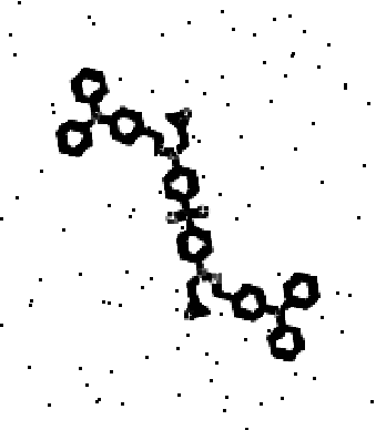 O=S(=O)(c1ccc(N(CC2CO2)/N=C/c2ccc(N(c3ccccc3)c3ccccc3)cc2)cc1)c1ccc(N(CC2CO2)/N=C/c2ccc(N(c3ccccc3)c3ccccc3)cc2)cc1